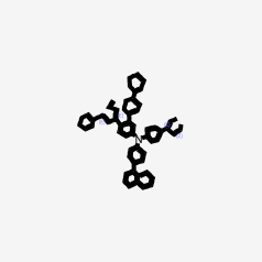 C=C/C=C(\C=C\C1=CCCC=C1)c1ccc(N(c2ccc(C(/C=C\C)=C/C)cc2)c2ccc(-c3cccc4ccccc34)cc2)cc1C1=CC=C(C2=CC=CCC2)CC1